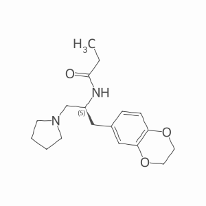 CCC(=O)N[C@@H](Cc1ccc2c(c1)OCCO2)CN1CCCC1